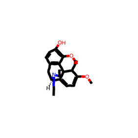 COC1=CC=C2[C@H]3Cc4ccc(O)c5c4[C@@]2(CCN3C)[C@H]1CO5